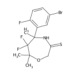 CC1(C)OCC(=S)NC(C)(c2cc(Br)ccc2F)C1(F)F